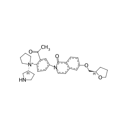 CC(=O)c1cc(-n2ccc3cc(OC[C@H]4CCCO4)ccc3c2=O)ccc1[N+]1([C@@H]2CCNC2)CCCC1